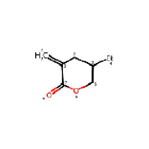 C=C1CC(CC)COC1=O